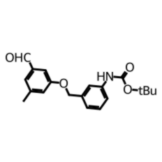 Cc1cc(C=O)cc(OCc2cccc(NC(=O)OC(C)(C)C)c2)c1